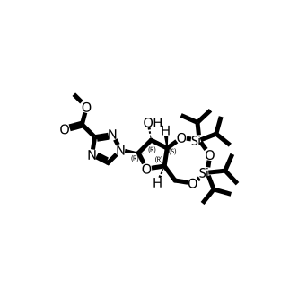 COC(=O)c1ncn([C@@H]2O[C@@H]3CO[Si](C(C)C)(C(C)C)O[Si](C(C)C)(C(C)C)O[C@H]3[C@H]2O)n1